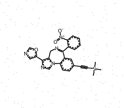 C[Si](C)(C)C#Cc1ccc2c(c1)C(c1ccccc1[N+](=O)[O-])=NCc1c(-c3cnco3)ncn1-2